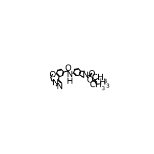 CC(C)(C)OC(=O)N1Cc2ccc(NC(=O)c3ccc4c(c3)-c3cncn3CCO4)cc2C1